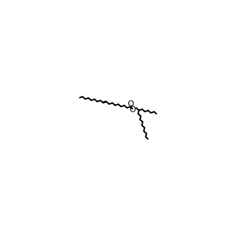 CCCCCCCCC=CCCCCCCCC(=O)OCC(CCCCCC)CCCCCCCCCC